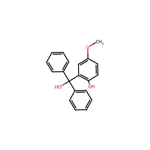 COc1ccc(O)c(C(O)(c2ccccc2)c2ccccc2)c1